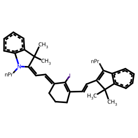 CCCC1=C(/C=C/C2=C(I)C(=C/C=C3/N(CCC)c4ccccc4C3(C)C)/CCC2)C(C)(C)c2ccccc21